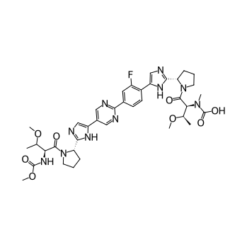 COC(=O)N[C@H](C(=O)N1CCC[C@H]1c1ncc(-c2cnc(-c3ccc(-c4cnc([C@@H]5CCCN5C(=O)[C@H]([C@@H](C)OC)N(C)C(=O)O)[nH]4)c(F)c3)nc2)[nH]1)C(C)OC